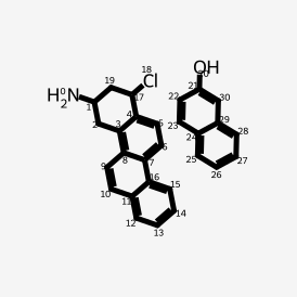 NC1Cc2c(ccc3c2ccc2ccccc23)C(Cl)C1.Oc1ccc2ccccc2c1